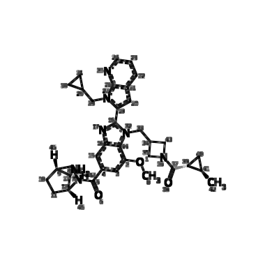 COc1cc(C(=O)N2C[C@H]3CC[C@@H]2[C@@H]3N)cc2nc(-c3cc4cccnc4n3CC3CC3)n(CC3CN(C(=O)[C@@H]4C[C@H]4C)C3)c12